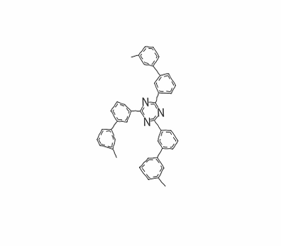 Cc1cccc(-c2cccc(-c3nc(-c4cccc(-c5cccc(C)c5)c4)nc(-c4cccc(-c5cccc(C)c5)c4)n3)c2)c1